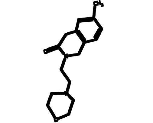 Cc1ccc2c(c1)CC(=O)N(CCN1CCOCC1)C2